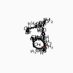 COc1cc2cc(c1Cl)N(C)C(=O)C[C@H](OC(=O)Nc1ccc(NC(=O)[C@H](CCCNC(N)=O)NC(=O)[C@@H](NC(=O)CCCCCNC(C=O)(CBr)CBr)C(C)C)cc1F)[C@]1(C)O[C@H]1[C@H](C)[C@@H]1C[C@@](O)(NC(=O)O1)[C@H](OC)/C=C/C=C(\C)C2